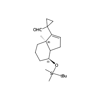 CC(C)(C)[Si](C)(C)O[C@H]1CCC[C@@]2(C)C(C3(C=O)CC3)=CCC12